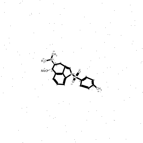 CO[C@H]1c2cccc3c2c(cn3S(=O)(=O)c2ccc(C)cc2)C[C@@H]1N(C)C